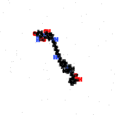 O=C1CCC(N2C(=O)c3cc(NCCCCCCCCNCCc4ccc(N5C[C@H]6C[C@@H]5CN6/C=C/C(=O)c5ccccc5O)cc4)ccc3C2O)C(=O)N1